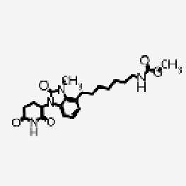 COC(=O)NCCCCCCCc1cccc2c1n(C)c(=O)n2C1CCC(=O)NC1=O